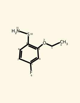 CCOc1cc(F)ccc1SN